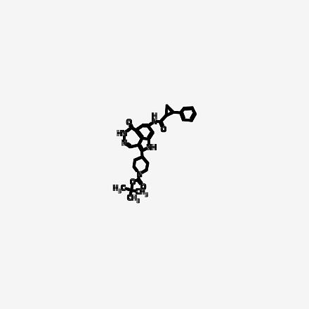 CC(C)(C)OC(=O)N1CCC(c2[nH]c3cc(NC(=O)C4CC4c4ccccc4)cc4c3c2C=NNC4=O)CC1